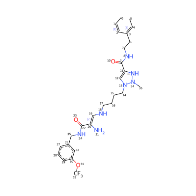 C/C=C\C(=C/C)CCNC(=O)C1=CN(CCCCN/C=C(\N)C(=O)NCc2cccc(OC(F)(F)F)c2)N(C)N1